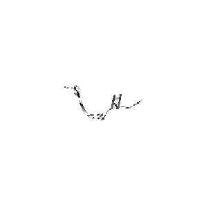 CCN/C=C\SC